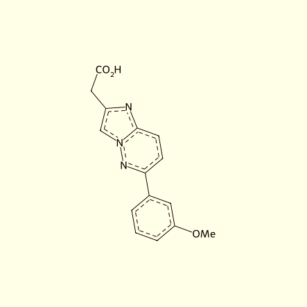 COc1cccc(-c2ccc3nc(CC(=O)O)cn3n2)c1